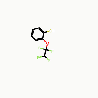 FC(F)C(F)(F)Oc1ccccc1S